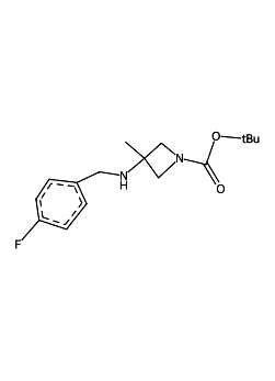 CC1(NCc2ccc(F)cc2)CN(C(=O)OC(C)(C)C)C1